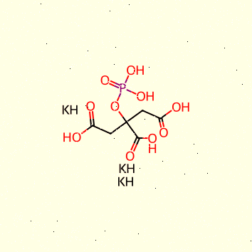 O=C(O)CC(CC(=O)O)(OP(=O)(O)O)C(=O)O.[KH].[KH].[KH]